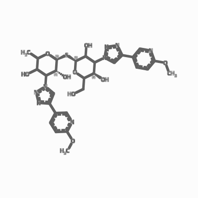 COc1ccc(-c2cn(C3C(O)[C@H](S[C@@H]4OC(C)C(O)C(n5cc(-c6ccc(OC)nc6)nn5)[C@H]4O)OC(CO)[C@@H]3O)nn2)cn1